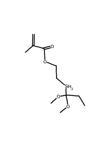 C=C(C)C(=O)OCC[SiH2]C(CC)(OC)OC